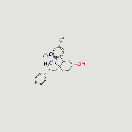 CN(C)CC1CC(O)CCC1(CCc1ccccc1)Cc1ccc(Cl)cc1